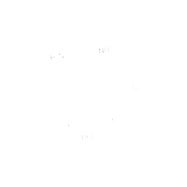 COc1cc(N)c(N)cc1OC.Cl.Cl